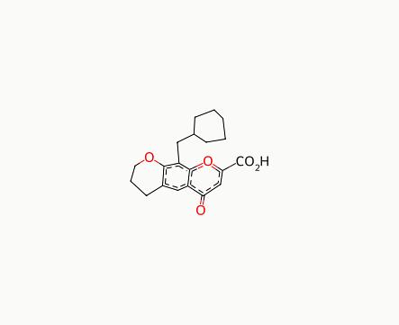 O=C(O)c1cc(=O)c2cc3c(c(CC4CCCCC4)c2o1)OCCC3